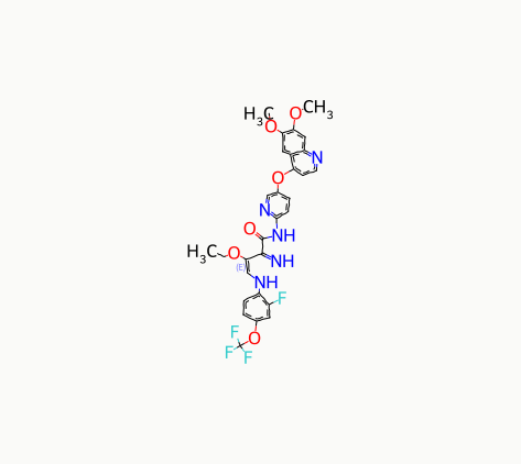 CCO/C(=C/Nc1ccc(OC(F)(F)F)cc1F)C(=N)C(=O)Nc1ccc(Oc2ccnc3cc(OC)c(OC)cc23)cn1